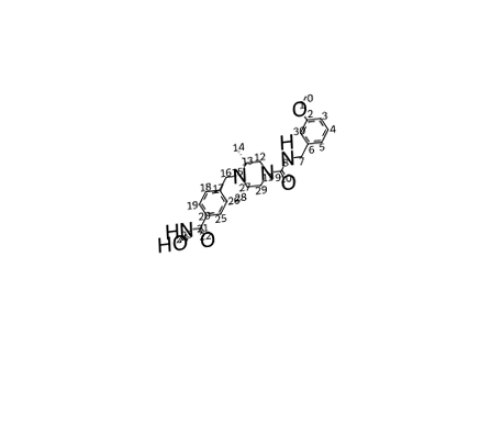 COc1cccc(CNC(=O)N2C[C@@H](C)N(Cc3ccc(C(=O)NO)cc3)[C@@H](C)C2)c1